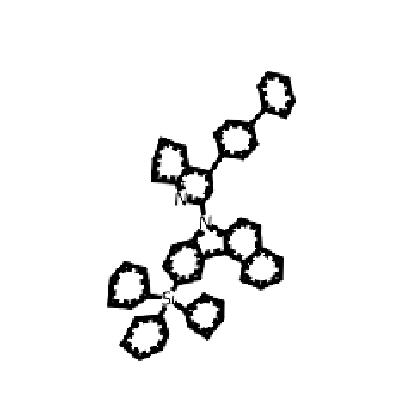 c1ccc(-c2ccc(-c3cc(-n4c5ccc([Si](c6ccccc6)(c6ccccc6)c6ccccc6)cc5c5c6ccccc6ccc54)nc4ccccc34)cc2)cc1